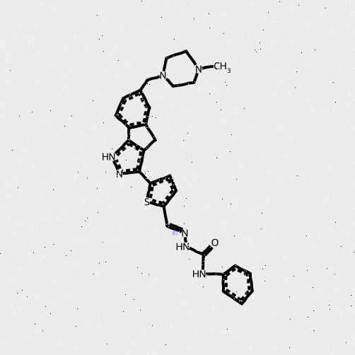 CN1CCN(Cc2ccc3c(c2)Cc2c(-c4ccc(/C=N/NC(=O)Nc5ccccc5)s4)n[nH]c2-3)CC1